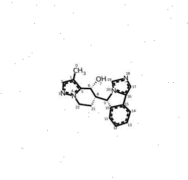 Cc1cnn2c1[C@H](O)[C@H]([C@H]1c3ccccc3-c3cncn31)CC2